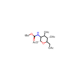 CC(=O)OCC1O[C@H](OC(C)=O)C(NC(=O)OC(C)(C)C)[C@@H](OC(C)=O)[C@@H]1OC(C)=O